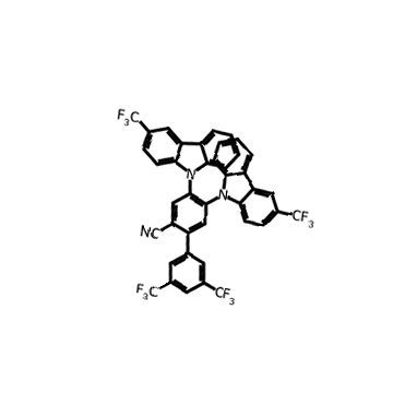 N#Cc1cc(-n2c3ccccc3c3cc(C(F)(F)F)ccc32)c(-n2c3ccccc3c3cc(C(F)(F)F)ccc32)cc1-c1cc(C(F)(F)F)cc(C(F)(F)F)c1